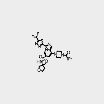 CC(C)C(=O)N1CCN(c2cc(S(=O)(=O)NC3(C)CCOC3)cn3c(-c4nnc(C(F)F)s4)ncc23)CC1